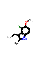 CCc1c(C)[nH]c2ccc(OC)c(F)c12